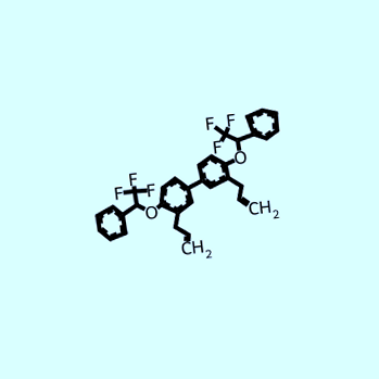 C=CCc1cc(-c2ccc(OC(c3ccccc3)C(F)(F)F)c(CC=C)c2)ccc1OC(c1ccccc1)C(F)(F)F